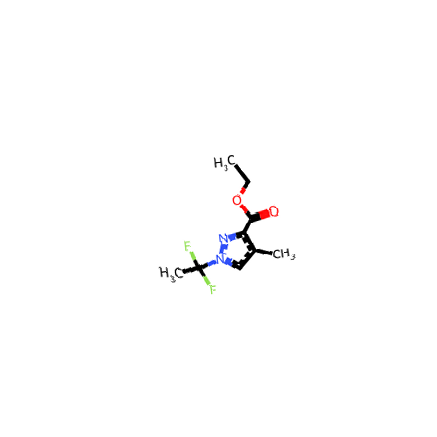 CCOC(=O)c1nn(C(C)(F)F)cc1C